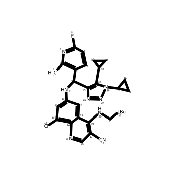 Cc1nc(F)ccc1C(Nc1cc(Cl)c2ncc(C#N)c(NCC(C)(C)C)c2c1)c1nnn(C2CC2)c1C1CC1